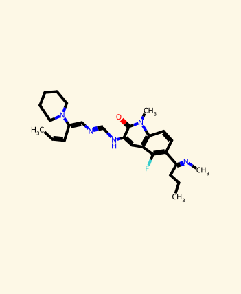 C\C=C/C(=C\N=C\Nc1cc2c(F)c(/C(CCC)=N/C)ccc2n(C)c1=O)N1CCCCC1